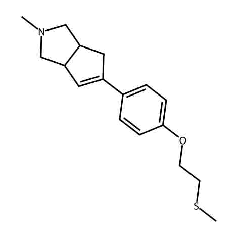 CSCCOc1ccc(C2=CC3CN(C)CC3C2)cc1